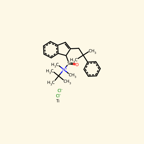 CC(C)(CC1=Cc2ccccc2C1[Si](=O)[N+](C)(C)C(C)(C)C)c1ccccc1.[Cl-].[Cl-].[Ti]